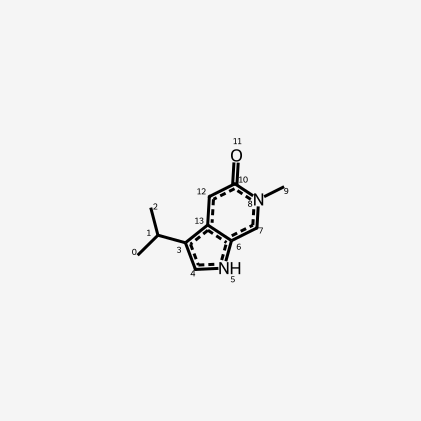 CC(C)c1c[nH]c2cn(C)c(=O)cc12